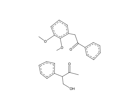 CC(=O)C(CO)c1ccccc1.COc1cccc(CC(=O)c2ccccc2)c1OC